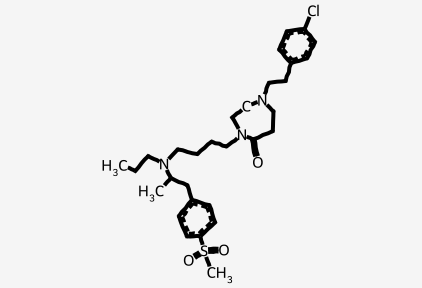 CCCN(CCCCN1CCN(CCc2ccc(Cl)cc2)CCC1=O)C(C)Cc1ccc(S(C)(=O)=O)cc1